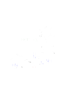 Cl.O=C(Nc1n[nH]c2ccc(-c3ccccc3Cl)cc12)[C@@H]1CCCNC1